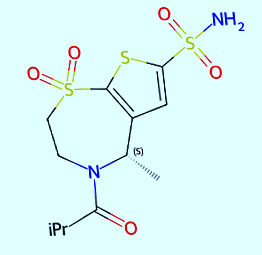 CC(C)C(=O)N1CCS(=O)(=O)c2sc(S(N)(=O)=O)cc2[C@@H]1C